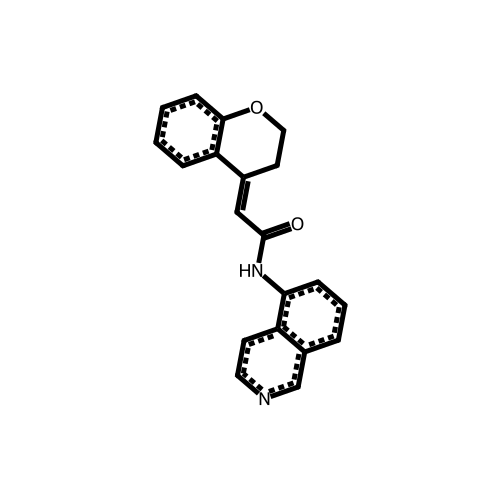 O=C(C=C1CCOc2ccccc21)Nc1cccc2cnccc12